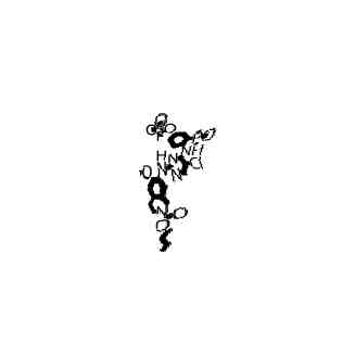 CCCCOC(=O)N1CCc2cc(OC)c(Nc3ncc(Cl)c(Nc4ccc(OS(=O)(=O)F)cc4P(C)(C)=O)n3)cc2C1